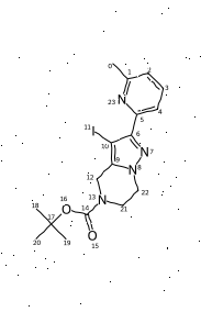 Cc1cccc(-c2nn3c(c2I)CN(C(=O)OC(C)(C)C)CC3)n1